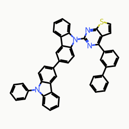 c1ccc(-c2cccc(-c3nc(-n4c5ccccc5c5cc(-c6ccc7c(c6)c6ccccc6n7-c6ccccc6)ccc54)nc4sccc34)c2)cc1